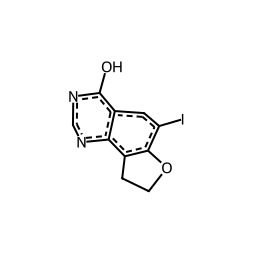 Oc1ncnc2c3c(c(I)cc12)OCC3